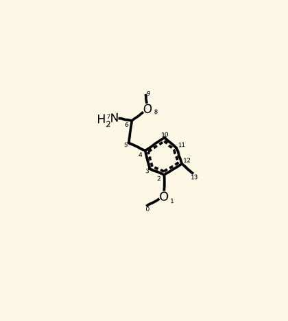 COc1cc(CC(N)OC)ccc1C